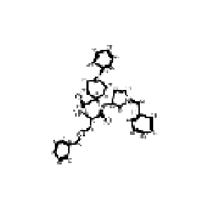 O=C1C(COCc2ccccc2)NC(=O)C2(CCN(c3ccccc3)CC2)N1C1CCN(Cc2ccccc2)C1